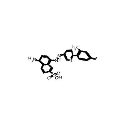 Cc1cc(F)ccc1-c1ccc(/N=N/c2ccc(N)c3ccc(S(=O)(=O)O)cc23)cn1